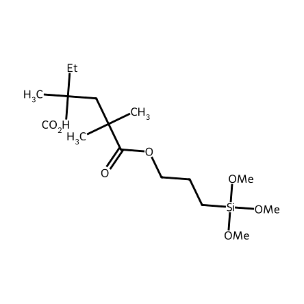 CCC(C)(CC(C)(C)C(=O)OCCC[Si](OC)(OC)OC)C(=O)O